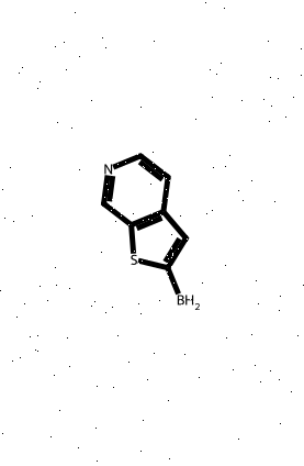 Bc1cc2ccncc2s1